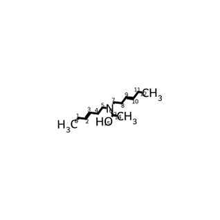 CCC=CCCN(CCC=CCC)C(C)O